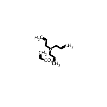 C=CC(=O)O.C=CCN(CC=C)CC=C